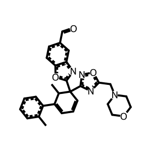 Cc1ccccc1C1=CC=CC(c2noc(CN3CCOCC3)n2)(c2nc3cc(C=O)ccc3o2)C1C